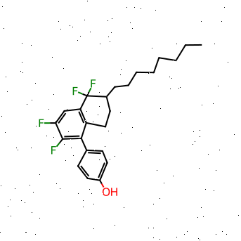 CCCCCCCCC1CCc2c(cc(F)c(F)c2-c2ccc(O)cc2)C1(F)F